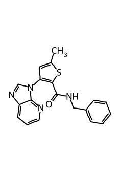 Cc1cc(-n2cnc3cccnc32)c(C(=O)NCc2ccccc2)s1